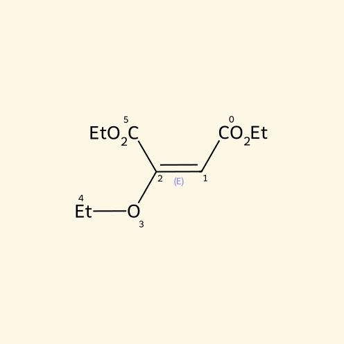 CCOC(=O)/C=C(/OCC)C(=O)OCC